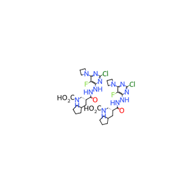 O=C(O)NC[C@@H](CC1CCCC1)C(=O)NNc1nc(Cl)nc(N2CCC2)c1F.O=C(O)NC[C@@H](CC1CCCC1)C(=O)NNc1nc(Cl)nc(N2CCC2)c1F